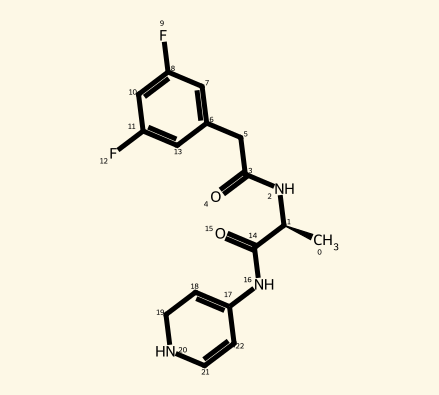 C[C@H](NC(=O)Cc1cc(F)cc(F)c1)C(=O)NC1=CCNC=[C]1